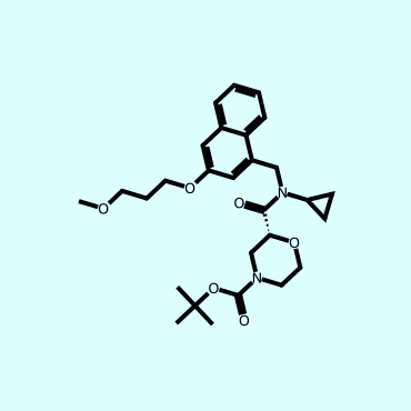 COCCCOc1cc(CN(C(=O)[C@H]2CN(C(=O)OC(C)(C)C)CCO2)C2CC2)c2ccccc2c1